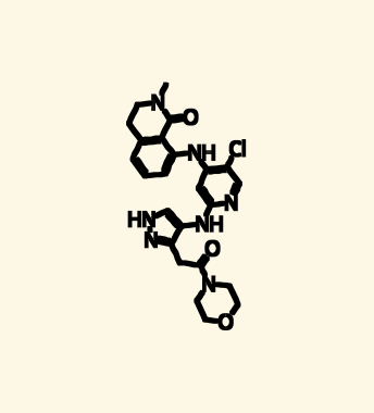 CN1CCc2cccc(Nc3cc(Nc4c[nH]nc4CC(=O)N4CCOCC4)ncc3Cl)c2C1=O